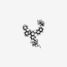 CS(=O)(=O)NC(=O)c1ccc(-c2c(CCc3ccc4ccccc4n3)nc3c(N4CCOCC4)ccnn23)cn1.O=C(O)C(F)(F)F